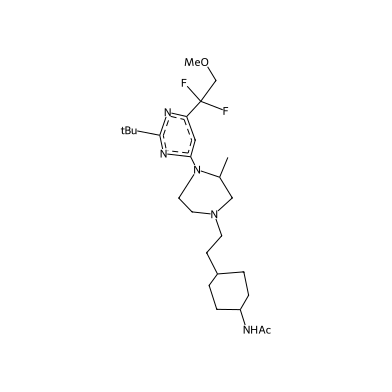 COCC(F)(F)c1cc(N2CCN(CCC3CCC(NC(C)=O)CC3)CC2C)nc(C(C)(C)C)n1